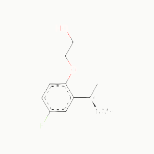 CN[C@H](C)c1cc(F)ccc1OCCO